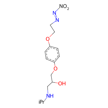 CC(C)NCC(O)COc1ccc(OCCN=N[N+](=O)[O-])cc1